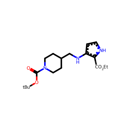 CCOC(=O)c1[nH]ccc1NCC1CCN(C(=O)OC(C)(C)C)CC1